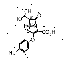 CC(O)[C@H]1C(=O)N2C(C(=O)O)=C(Oc3ccc(C#N)cc3)S[C@H]12